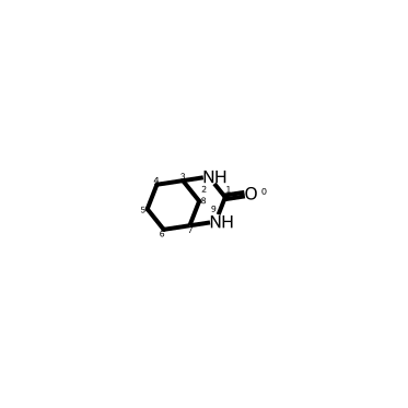 O=C1NC2CCCC(C2)N1